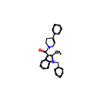 Cc1c(C(=O)N2CC=C(c3ccccc3)CC2)c2ccccc2n1Cc1ccccc1